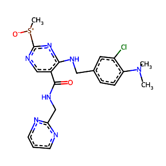 CN(C)c1ccc(CNc2nc([S+](C)[O-])ncc2C(=O)NCc2ncccn2)cc1Cl